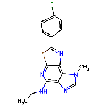 CCNc1nc2sc(-c3ccc(F)cc3)nc2c2c1ncn2C